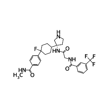 CNC(=O)c1ccc(C2(F)CCC([C@]3(NC(=O)CNC(=O)c4cccc(C(F)(F)F)c4)CCNC3)CC2)cc1